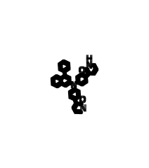 C1=Cc2c(oc3cc(N(c4cc(-c5ccccc5)c5ccccc5c4)c4ccc5c(c4)oc4ncccc45)ccc23)NC1